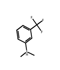 C[SH](C)c1cccc(C(F)(F)F)c1